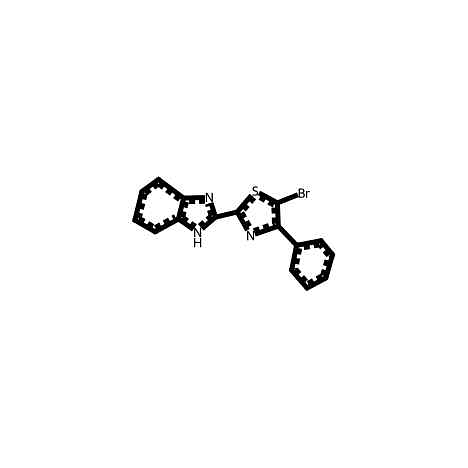 Brc1sc(-c2nc3ccccc3[nH]2)nc1-c1ccccc1